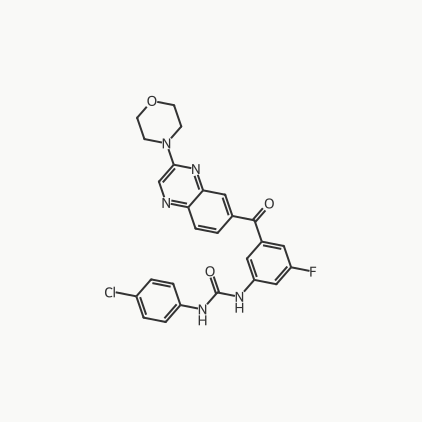 O=C(Nc1ccc(Cl)cc1)Nc1cc(F)cc(C(=O)c2ccc3ncc(N4CCOCC4)nc3c2)c1